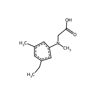 CCc1cc(C)cc(N(C)CC(=O)O)c1